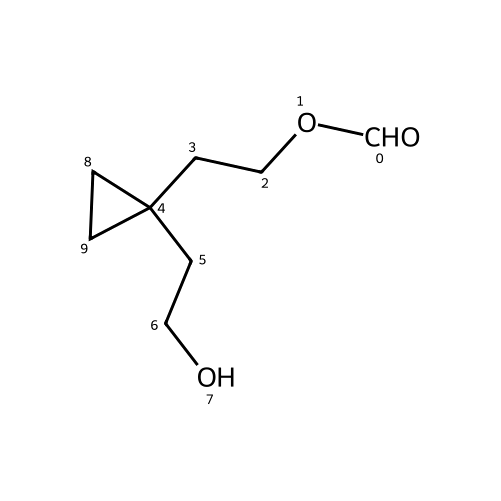 O=COCCC1(CCO)CC1